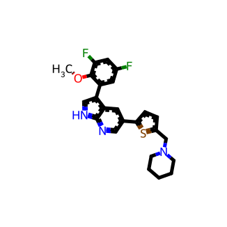 COc1c(F)cc(F)cc1-c1c[nH]c2ncc(-c3ccc(CN4CCCCC4)s3)cc12